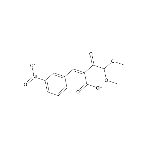 COC(OC)C(=O)C(=Cc1cccc([N+](=O)[O-])c1)C(=O)O